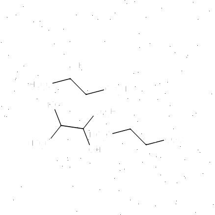 O=C(O)C(O)C(O)C(=O)O.O=C(O)CCC(=O)O.O=C([O-])CCC(=O)O.[K+]